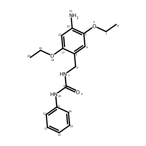 CCOc1cc(CNC(=O)Nc2ccccc2)c(OCC)cc1N